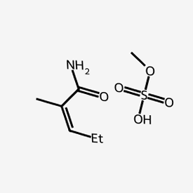 CCC=C(C)C(N)=O.COS(=O)(=O)O